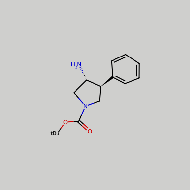 CC(C)(C)OC(=O)N1C[C@H](c2ccccc2)[C@@H](N)C1